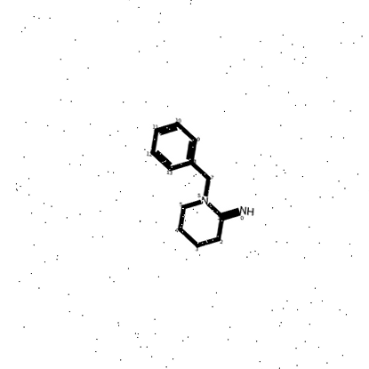 N=C1CCCCN1Cc1ccccc1